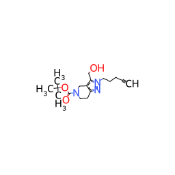 C#CCCCn1nc2c(c1CO)CN(C(=O)OC(C)(C)C)CC2